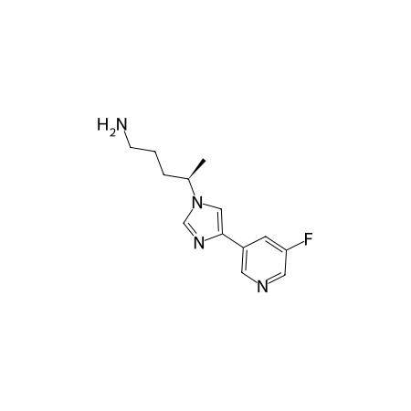 C[C@H](CCCN)n1cnc(-c2cncc(F)c2)c1